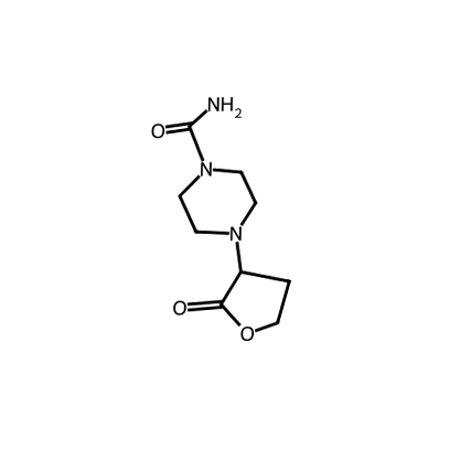 NC(=O)N1CCN(C2CCOC2=O)CC1